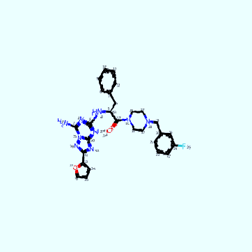 Nc1nc(N[C@@H](Cc2ccccc2)C(=O)N2CCN(Cc3cccc(F)c3)CC2)nc2nc(-c3ccco3)nn12